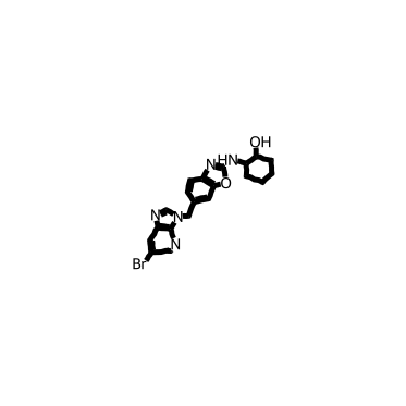 OC1CCCCC1Nc1nc2ccc(Cn3cnc4cc(Br)cnc43)cc2o1